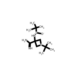 CC(C)(C)N1CC(N[S+]([O-])C(C)(C)C)(C(=N)N)C1